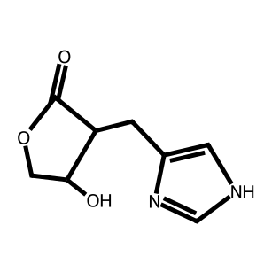 O=C1OCC(O)C1Cc1c[nH]cn1